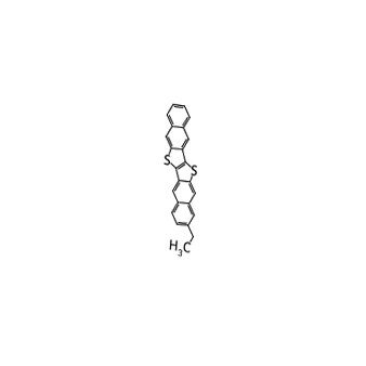 CCc1ccc2cc3c(cc2c1)sc1c2cc4ccccc4cc2sc31